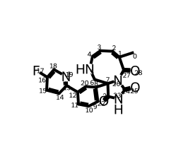 C/C1=C/C=C\NCC2(c3cccc(-c4ccc(F)cn4)c3)C(=O)NC(=O)N2C1=O